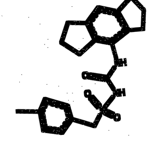 Cc1ccc(CS(=O)(=O)NC(=O)Nc2c3c(cc4c2CCC4)CCC3)cc1